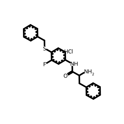 Cl.NC(Cc1ccccc1)C(=O)Nc1ccc(SCc2ccccc2)c(F)c1